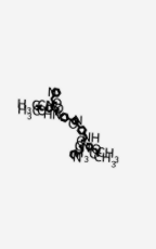 CC(C)(C)O[C@@H]1C[C@@H](C(=O)Nc2ccc(-c3cnc(-c4ccc(NC(=O)[C@@H]5C[C@@H](OC(C)(C)C)CN5C(=O)Cc5ccccn5)cc4)o3)cc2)N(C(=O)Cc2ccccn2)C1